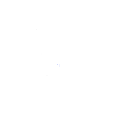 CC(NCCC(Cl)c1cccc(C(F)(F)F)c1)c1cccc2ccccc12